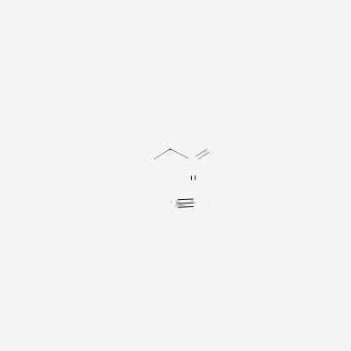 C#N.CC[SH](=O)=O